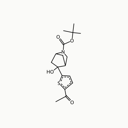 CC(=O)c1ccc(C2(O)CC3CC2CN3C(=O)OC(C)(C)C)s1